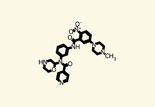 CN1CCN(c2ccc([N+](=O)[O-])c(C(=O)Nc3cccc(N(C(=O)c4ccncc4)C4CNCCO4)c3)c2)CC1